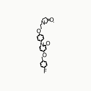 CO[C@@H]1CCN(CCOc2ccc(-n3ccc(OCc4ccc(F)cc4)cc3=O)cc2)C1